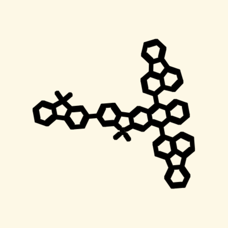 CC1(C)c2ccccc2-c2ccc(-c3ccc4c(c3)[Si](C)(C)c3cc5c(-c6ccc7c8c(cccc68)-c6ccccc6-7)c6ccccc6c(C6C=CC7=C8C(=CC=CC86)c6ccccc67)c5cc3-4)cc21